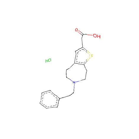 Cl.O=C(O)c1cc2c(s1)CCN(Cc1ccccc1)CC2